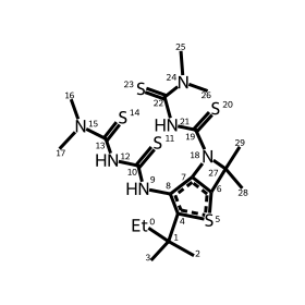 CCC(C)(C)c1sc2c(c1NC(=S)NC(=S)N(C)C)N(C(=S)NC(=S)N(C)C)C2(C)C